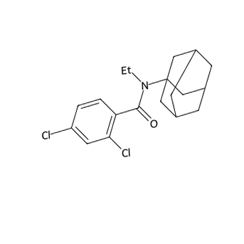 CCN(C(=O)c1ccc(Cl)cc1Cl)C12CC3CC(CC(C3)C1)C2